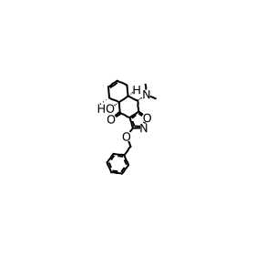 C[C@@H]1C=CC[C@H]2[C@H](N(C)C)c3onc(OCc4ccccc4)c3C(=O)[C@@]12O